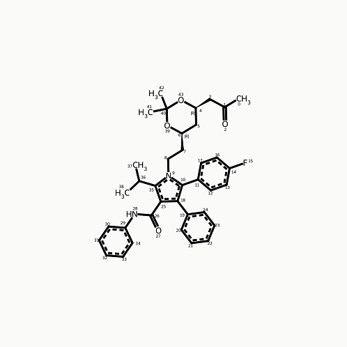 CC(=O)C[C@H]1C[C@@H](CCn2c(-c3ccc(F)cc3)c(-c3ccccc3)c(C(=O)Nc3ccccc3)c2C(C)C)OC(C)(C)O1